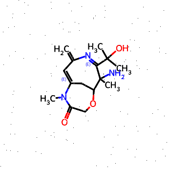 C=C1/C=C2\CC(OCC(=O)N2C)C(C)(N)/C(C(C)(C)O)=N\1